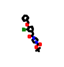 CC(C)(C)OC(=O)N1CCN(C(=O)Cc2ccc(OCc3ccccc3)c(Br)c2)CC1